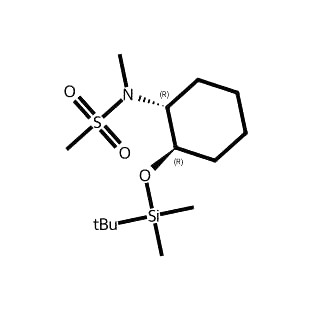 CN([C@@H]1CCCC[C@H]1O[Si](C)(C)C(C)(C)C)S(C)(=O)=O